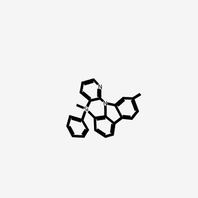 Cc1ccc2c3cccc4c3n(c2c1)-c1ncccc1[Si]4(C)c1ccccc1